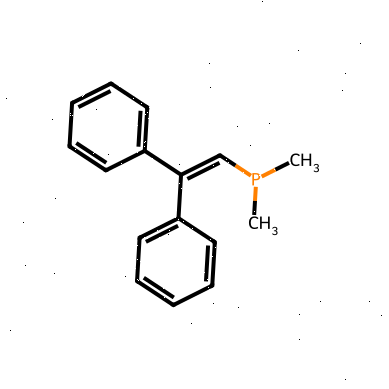 CP(C)C=C(c1ccccc1)c1ccccc1